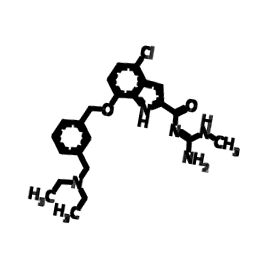 CCN(CC)Cc1cccc(COc2ccc(Cl)c3cc(C(=O)N=C(N)NC)[nH]c23)c1